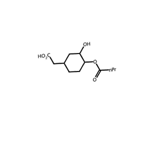 CCCC(=O)OC1CCC(CC(=O)O)CC1O